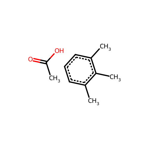 CC(=O)O.Cc1cccc(C)c1C